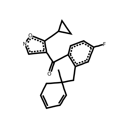 CC1(Cc2cc(F)ccc2C(=O)c2cnoc2C2CC2)C=CC=CC1